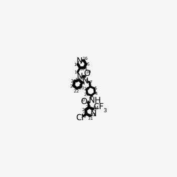 O=C(NC1CCC(Cn2c(=O)n(Cc3cccnc3)c3ccccc32)CC1)c1cc(Cl)cnc1C(F)(F)F